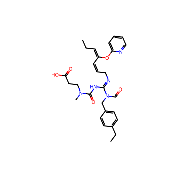 CC/C=C(\C=C/C/N=C(\NC(=O)N(C)CCC(=O)O)N(C=O)Cc1ccc(CC)cc1)Oc1ccccn1